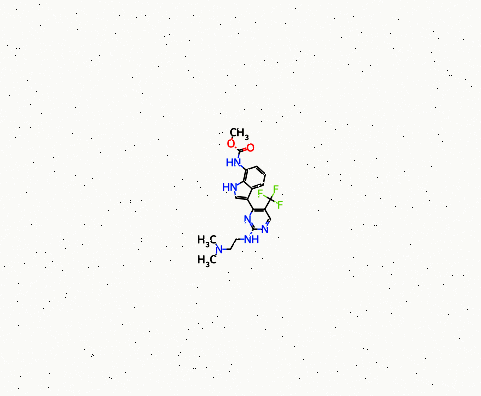 COC(=O)Nc1cccc2c(-c3nc(NCCN(C)C)ncc3C(F)(F)F)c[nH]c12